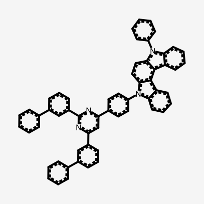 c1ccc(-c2cccc(-c3cc(-c4ccc(-n5c6ccccc6c6c7c8ccccc8n(-c8ccccc8)c7ccc65)cc4)nc(-c4cccc(-c5ccccc5)c4)n3)c2)cc1